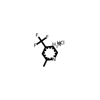 Cc1cc(C(F)(F)F)ccn1.Cl.N